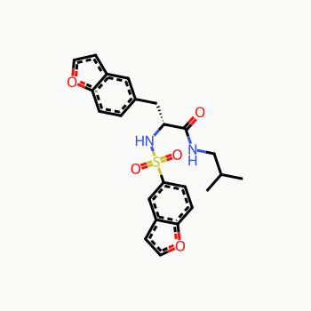 CC(C)CNC(=O)[C@@H](Cc1ccc2occc2c1)NS(=O)(=O)c1ccc2occc2c1